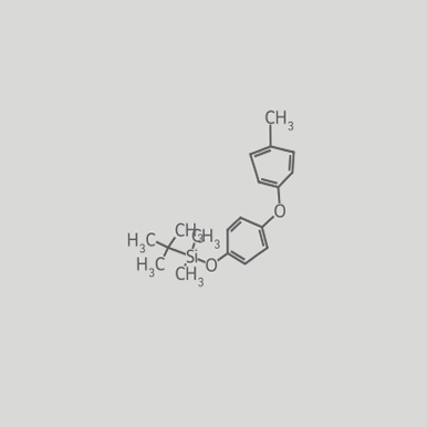 Cc1ccc(Oc2ccc(O[Si](C)(C)C(C)(C)C)cc2)cc1